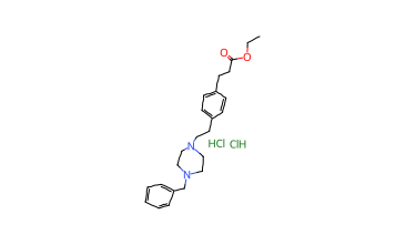 CCOC(=O)CCc1ccc(CCN2CCN(Cc3ccccc3)CC2)cc1.Cl.Cl